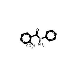 NN(C(=O)c1ccccc1C(=O)O)c1ccccc1